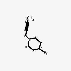 CC#CCN1CCC(F)CC1